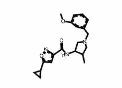 COc1cccc(CN2CC(C)C(NC(=O)c3cc(C4CC4)on3)C2)c1